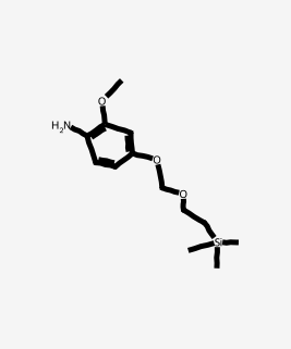 COc1cc(OCOCC[Si](C)(C)C)ccc1N